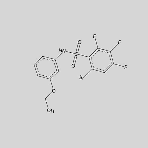 O=S(=O)(Nc1cccc(OCO)c1)c1c(Br)cc(F)c(F)c1F